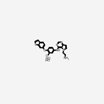 Cl.Cl.NCCn1ccc2ncnc(Nc3ccc(Oc4ccc5ccsc5c4)c(Cl)c3)c21